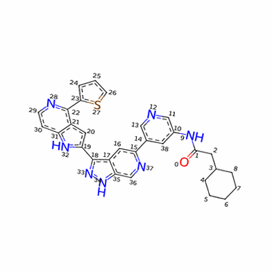 O=C(CC1CCCCC1)Nc1cncc(-c2cc3c(-c4cc5c(-c6cccs6)nccc5[nH]4)n[nH]c3cn2)c1